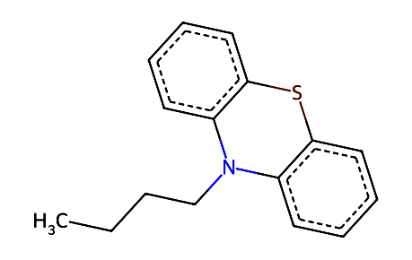 CCCCN1c2ccccc2Sc2ccccc21